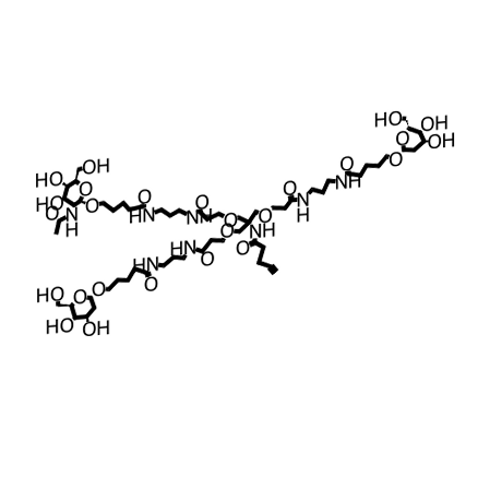 C#CCCC(=O)NC(COCCC(=O)NCCCNC(=O)CCCCO[C@H]1C[C@@H](O)[C@@H](O)[C@@H](CO)O1)(COCCC(=O)NCCCNC(=O)CCCCO[C@H]1C[C@@H](O)[C@@H](O)[C@@H](CO)O1)COCCC(=O)NCCCNC(=O)CCCCO[C@@H]1O[C@H](CO)[C@H](O)[C@H](O)[C@H]1NC(C)=O